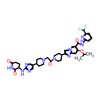 CC(C)Oc1cc2nc(C3CCN(C(=O)CN4CCC(c5cnc(NC6CCC(=O)NC6=O)nc5)CC4)CC3)cn2cc1C(=O)Nc1cccc(C(F)F)n1